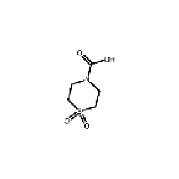 O=C(O)N1CCS(=O)(=O)CC1